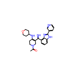 CC(=O)N1CCC(NC2CCOCC2)=C(C(=N)c2cccc3[nH]c(-c4cccnc4)nc23)C1